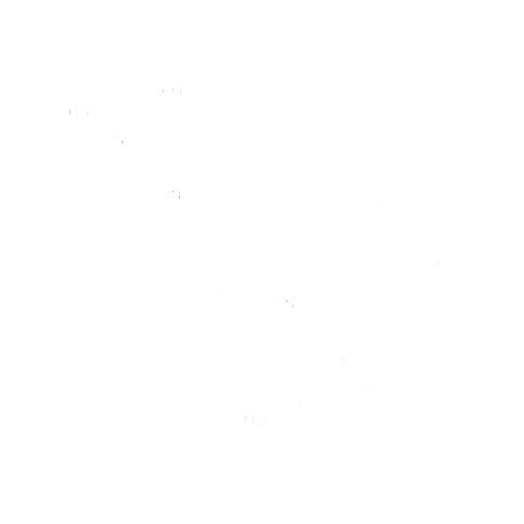 CC1CN(c2ccc(-n3cc(C(=O)O)c(=O)c4cc(F)c(F)c(Cl)c43)cc2)CCN1C